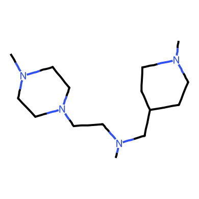 CN1CCC(CN(C)CCN2CCN(C)CC2)CC1